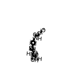 COCCOCC(=O)NCc1ccc(-c2nc(C(=O)N[C@@H](CO)C(=O)O)cs2)cc1